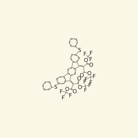 O=C(OC(F)(F)F)C(C(=O)OC(F)(F)F)=C1c2cc(Sc3ccccc3)ccc2-c2cc3c(cc21)C(=C(C(=O)OC(F)(F)F)C(=O)OC(F)(F)F)c1cc(Sc2ccccc2)ccc1-3